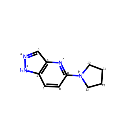 c1cc2[nH]ncc2nc1N1CCCC1